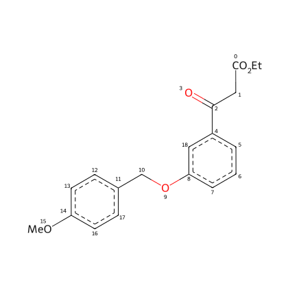 CCOC(=O)CC(=O)c1cccc(OCc2ccc(OC)cc2)c1